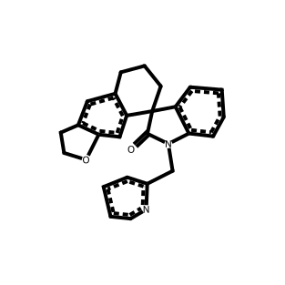 O=C1N(Cc2ccccn2)c2ccccc2C12CCCc1cc3c(cc12)OCC3